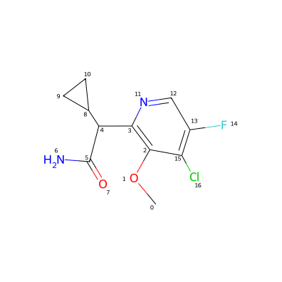 COc1c(C(C(N)=O)C2CC2)ncc(F)c1Cl